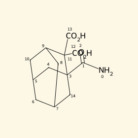 NC(=O)C12CC3CC(CC(C3)C1(C(=O)O)C(=O)O)C2